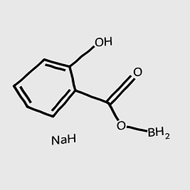 BOC(=O)c1ccccc1O.[NaH]